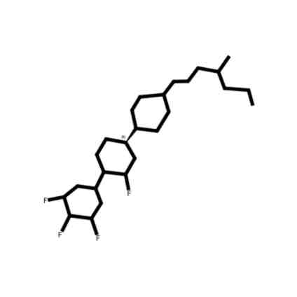 CCCC(C)CCCC1CCC([C@@H]2CCC(C3CC(F)C(F)C(F)C3)C(F)C2)CC1